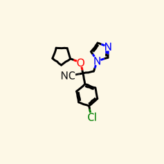 N#CC(Cn1ccnc1)(OC1CCCC1)c1ccc(Cl)cc1